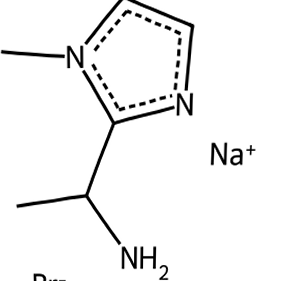 CC(N)c1nccn1C.[Br-].[Na+]